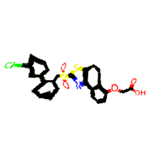 O=C(O)COc1cccc2c1CCc1sc(S(=O)(=O)Cc3ccccc3-c3cccc(Cl)c3)nc1-2